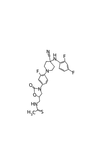 CC(=S)NCC1CN(c2ccc(N3CCC(C#N)(Nc4ccc(F)cc4F)CC3)c(F)c2)C(=O)O1